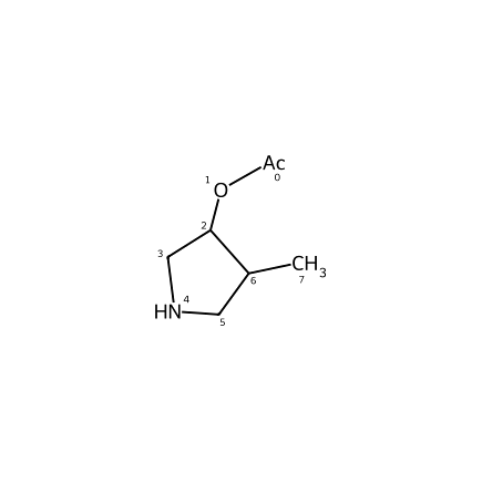 CC(=O)OC1CNCC1C